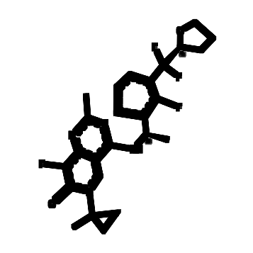 Cc1nc(N[C@H](C)c2cccc(C(F)(F)[C@@H]3CCCO3)c2F)c2cn(C3(C)CC3)c(=O)c(F)c2n1